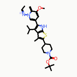 C=C1C(OC)=CC(c2[nH]c3sc(C4CCN(C(=O)OC(C)(C)C)CC4)c(C)c3c2C(C)C)=CN1/N=C\C